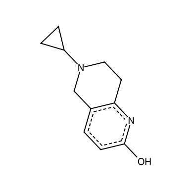 Oc1ccc2c(n1)CCN(C1CC1)C2